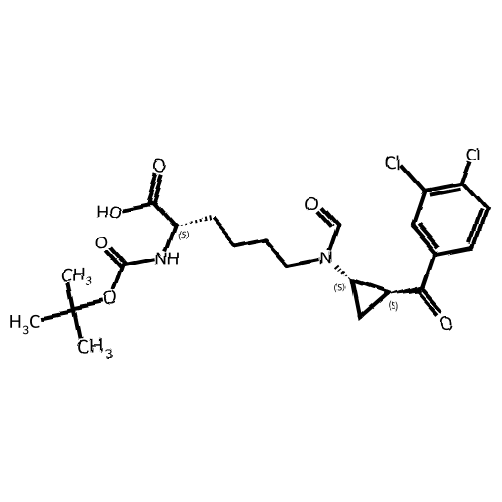 CC(C)(C)OC(=O)N[C@@H](CCCCN(C=O)[C@H]1C[C@@H]1C(=O)c1ccc(Cl)c(Cl)c1)C(=O)O